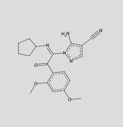 COc1ccc(C(=O)/C(=N\C2CCCC2)n2ncc(C#N)c2N)c(OC)c1